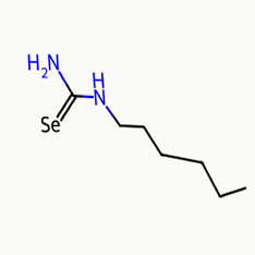 CCCCCCNC(N)=[Se]